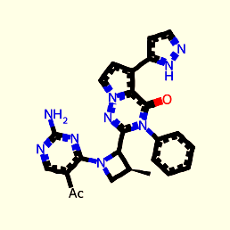 CC(=O)c1cnc(N)nc1N1C[C@H](C)C1c1nn2ccc(-c3ccn[nH]3)c2c(=O)n1-c1ccccc1